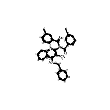 Cc1cccc(C(=O)N(C(=O)c2cccc(C)c2)c2nc3ccccc3c(NCc3ccccc3)c2C#N)c1